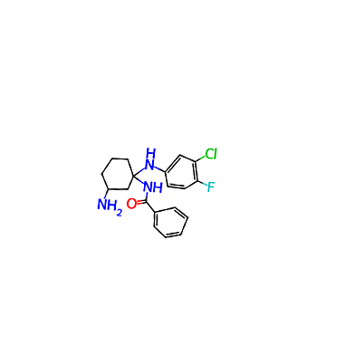 NC1CCCC(NC(=O)c2ccccc2)(Nc2ccc(F)c(Cl)c2)C1